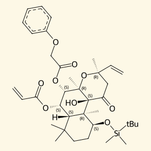 C=CC(=O)O[C@H]1[C@H]2C(C)(C)CC[C@H](O[Si](C)(C)C(C)(C)C)[C@]2(C)[C@@]2(O)C(=O)C[C@](C)(C=C)O[C@]2(C)[C@H]1OC(=O)COc1ccccc1